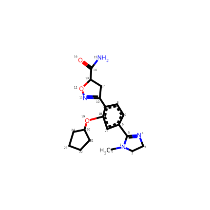 CN1CCN=C1c1ccc(C2=NOC(C(N)=O)C2)c(OC2CCCC2)c1